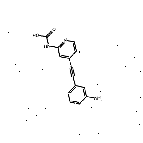 Nc1cccc(C#Cc2ccnc(NC(=O)O)c2)c1